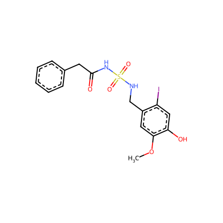 COc1cc(CNS(=O)(=O)NC(=O)Cc2ccccc2)c(I)cc1O